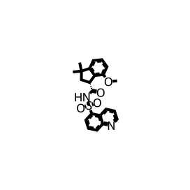 COc1cccc2c1[C@H](C(=O)NS(=O)(=O)c1cccc3ncccc13)CC2(C)C